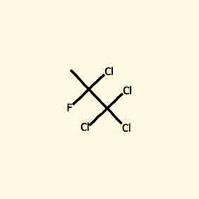 CC(F)(Cl)C(Cl)(Cl)Cl